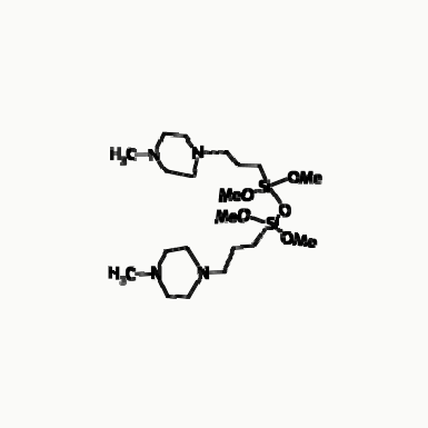 CO[Si](CCCN1CCN(C)CC1)(OC)O[Si](CCCN1CCN(C)CC1)(OC)OC